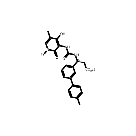 CCOC(=O)C[C@H](NC(=O)Nc1c(O)c(C)cn(CC)c1=O)c1cccc(-c2ccc(C)cc2)c1